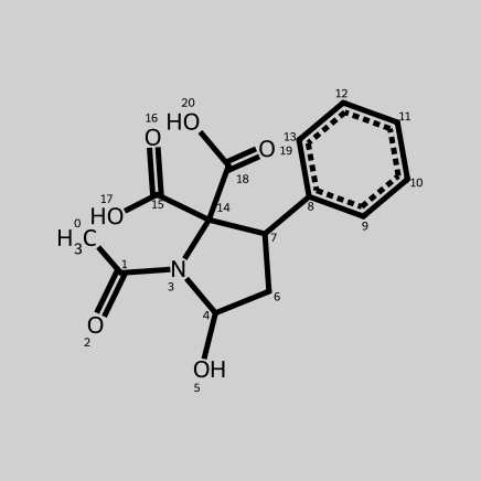 CC(=O)N1C(O)CC(c2ccccc2)C1(C(=O)O)C(=O)O